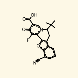 CC(C)(C)C1Cc2c(oc3c(C#N)cccc23)-c2c(F)c(=O)c(C(=O)O)cn21